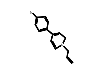 C=CCN1C=CC(c2ccc(Br)cc2)=CC1